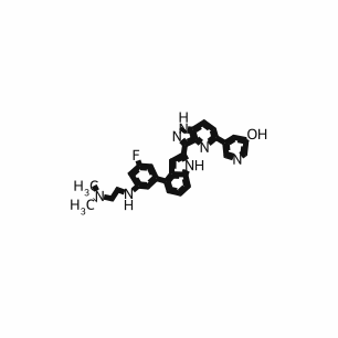 CN(C)CCNc1cc(F)cc(-c2cccc3[nH]c(-c4n[nH]c5ccc(-c6cncc(O)c6)nc45)cc23)c1